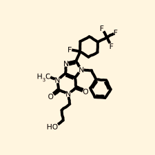 Cn1c(=O)n(CCCO)c(=O)c2c1nc(C1(F)CCC(C(F)(F)F)CC1)n2Cc1ccccc1